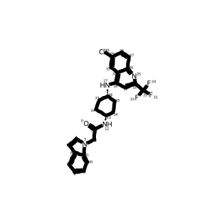 O=C(Cn1ccc2ccccc21)N[C@H]1CC[C@@H](Nc2cc(C(F)(F)F)nc3ccc(Cl)cc23)CC1